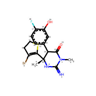 CN1C(=N)N[C@](C)(C2=C(Br)CCS2)C(c2ccc(F)c(O)c2)C1=O